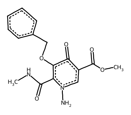 CNC(=O)c1c(OCc2ccccc2)c(=O)c(C(=O)OC)cn1N